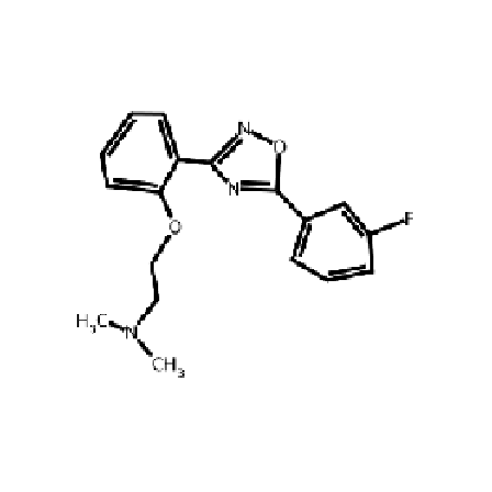 CN(C)CCOc1ccccc1-c1noc(-c2cccc(F)c2)n1